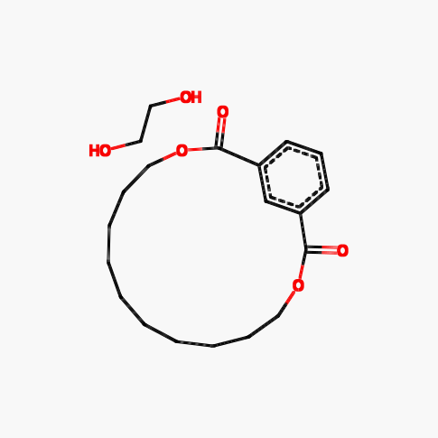 O=C1OCCCCCCCCCCOC(=O)c2cccc1c2.OCCO